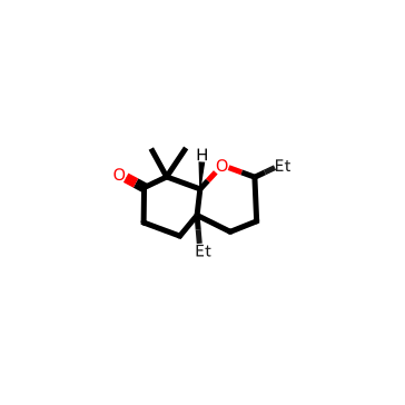 CCC1CCC2(CC)CCC(=O)C(C)(C)[C@@H]2O1